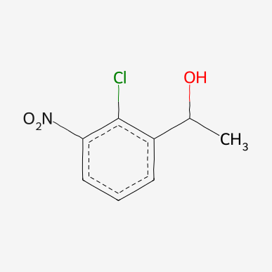 CC(O)c1cccc([N+](=O)[O-])c1Cl